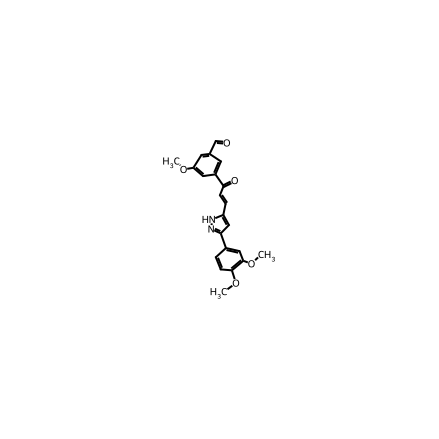 COc1cc(C=O)cc(C(=O)/C=C/c2cc(-c3ccc(OC)c(OC)c3)n[nH]2)c1